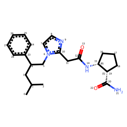 CC(C)CC(Cn1ccnc1CC(=O)N[C@@H]1CCC[C@@H]1C(N)=O)c1ccccc1